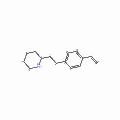 C=Cc1ccc(CCC2CCCCN2)cc1